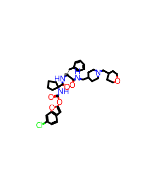 O=C(NC1(C(=O)N[C@H](Cc2ccccc2)C(=O)NCC2CCN(CC3CCOCC3)CC2)CCCC1)Oc1cc2ccc(Cl)cc2o1